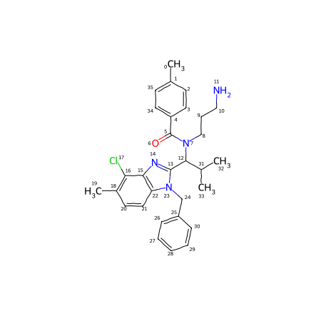 Cc1ccc(C(=O)N(CCCN)C(c2nc3c(Cl)c(C)ccc3n2Cc2ccccc2)C(C)C)cc1